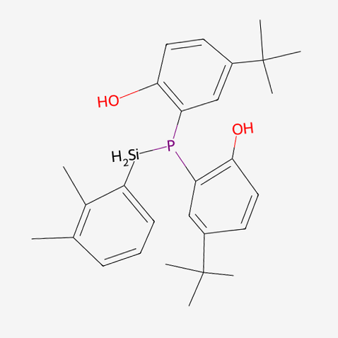 Cc1cccc([SiH2]P(c2cc(C(C)(C)C)ccc2O)c2cc(C(C)(C)C)ccc2O)c1C